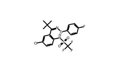 CC(C)(C)C(=NOc1ccc(F)cc1)c1cc(Cl)ccc1NS(=O)(=O)C(F)(F)F